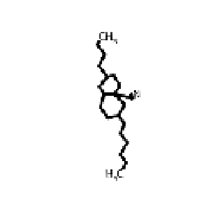 CCCCCCC1CCC2CC(CCCC)CCC2(C#N)C1